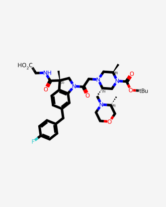 C[C@@H]1COCCN1C[C@H]1CN(C(=O)OC(C)(C)C)[C@H](C)CN1CC(=O)N1C[C@@](C)(C(=O)NCC(=O)O)c2ccc(Cc3ccc(F)cc3)cc21